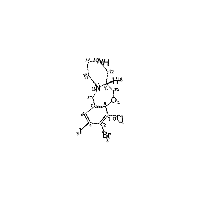 Clc1c(Br)c(I)cc2c1OC[C@H]1CNCCN1C2